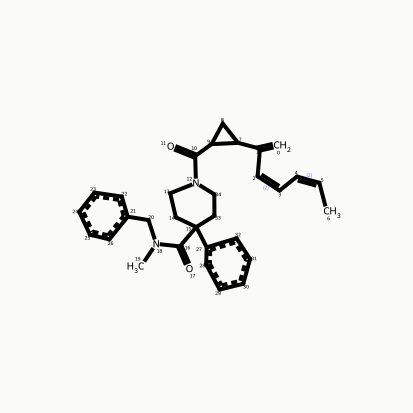 C=C(/C=C\C=C/C)C1CC1C(=O)N1CCC(C(=O)N(C)Cc2ccccc2)(c2ccccc2)CC1